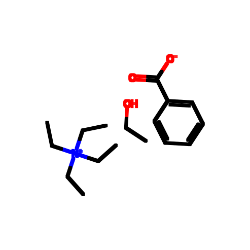 CCO.CC[N+](CC)(CC)CC.O=C([O-])c1ccccc1